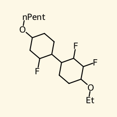 CCCCCOC1CCC(C2CCC(OCC)C(F)C2F)C(F)C1